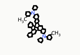 Cc1cccc(N(c2ccccc2)c2ccc3cc4c(cc3c2)C2(c3cc5cc(N(c6ccccc6)c6cccc(C)c6)ccc5cc3-4)c3ccccc3-c3c2ccc2ccccc32)c1